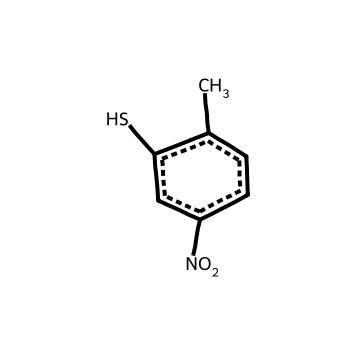 Cc1ccc([N+](=O)[O-])cc1S